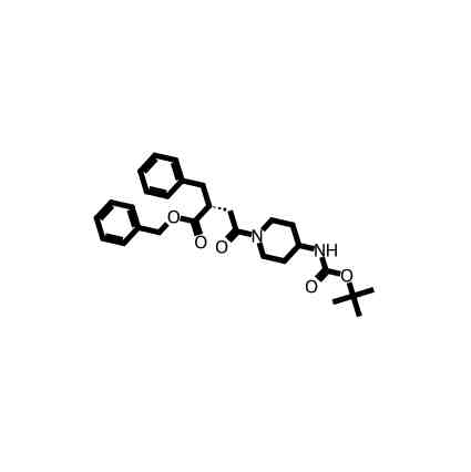 CC(C)(C)OC(=O)NC1CCN(C(=O)C[C@@H](Cc2ccccc2)C(=O)OCc2ccccc2)CC1